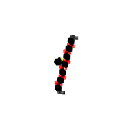 CC(C)(C)C1CCC(C(=O)O[C@H]2CC[C@H](OC(=O)[C@H]3CC[C@H](C(=O)Oc4ccc(OC(=O)[C@H]5CC[C@H](C(=O)O[C@H]6CC[C@H](OC(=O)C7CCC(C(C)(C)C)CC7)CC6)CC5)c(-c5scc6ccccc56)c4)CC3)CC2)CC1